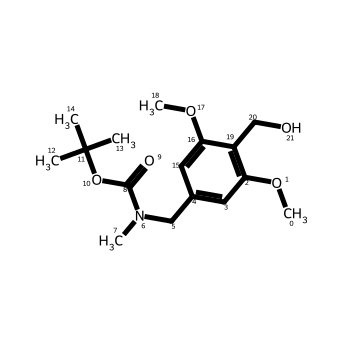 COc1cc(CN(C)C(=O)OC(C)(C)C)cc(OC)c1CO